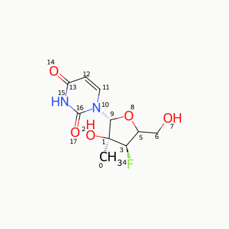 C[C@@]1(O)[C@H](F)C(CO)O[C@H]1n1ccc(=O)[nH]c1=O